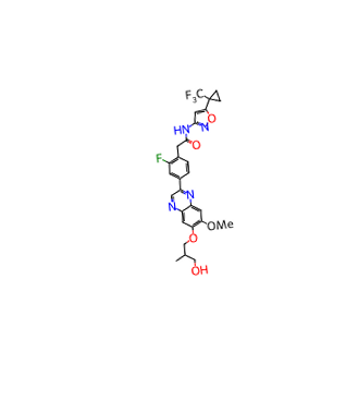 COc1cc2nc(-c3ccc(CC(=O)Nc4cc(C5(C(F)(F)F)CC5)on4)c(F)c3)cnc2cc1OCC(C)CO